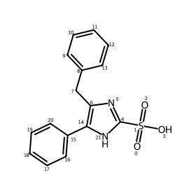 O=S(=O)(O)c1nc(Cc2ccccc2)c(-c2ccccc2)[nH]1